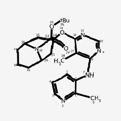 Cc1ncccc1Nc1ncnc(OC2CC3CCCC(C2)N3C(=O)OC(C)(C)C)c1C